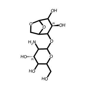 NC1C(OC2C3COC(O3)C(O)[C@H]2O)OC(CO)C(O)[C@@H]1O